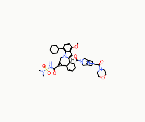 COc1ccc(C2CCCCC2)c2c1cc1n2CC2=C(C(=O)NS(=O)(=O)N(C)C)C2=C2C=CC[C@@H](C(=O)N3CC45CCC4(C3)CN(C(=O)N3CCOCC3)C5)[C@@H]21